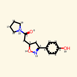 O=C(CC1CC(c2ccc(O)cc2)=NO1)N1CCCC1